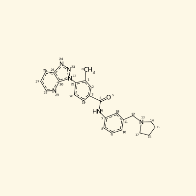 Cc1cc(C(=O)Nc2cccc(CN3CCCC3)c2)ccc1-n1nnc2cccnc21